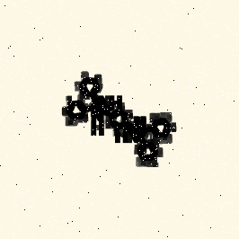 c1ccc(C2=C(c3ccccc3)NC(c3ccc(-c4nc(-c5ccccc5)c(-c5ccccc5)[nH]4)cc3)N2)cc1